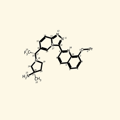 CC(C)Oc1cccc2ccc(-c3nnc4ccc([C@H](N5CC[C@@](C)(N)C5)C(F)(F)F)cn34)nc12